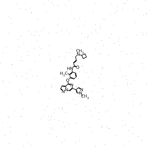 Cc1c(NC(=O)/C=C/CN(C)C2CCC2)cccc1Oc1nc(-c2cnn(C)c2)cn2nccc12